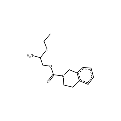 CCOC(N)COC(=O)N1CCc2ccccc2C1